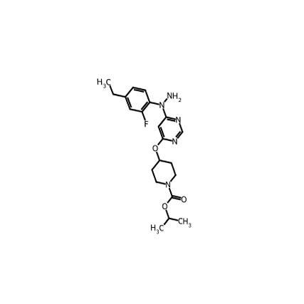 CCc1ccc(N(N)c2cc(OC3CCN(C(=O)OC(C)C)CC3)ncn2)c(F)c1